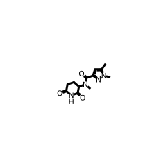 Cc1cc(C(=O)N(C)C2CCC(=O)NC2=O)nn1C